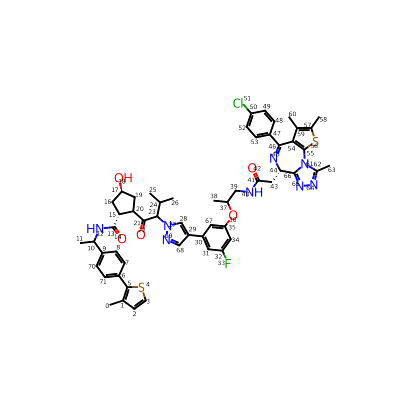 Cc1ccsc1-c1ccc(C(C)NC(=O)[C@@H]2C[C@@H](O)CC2C(=O)C(C(C)C)n2cc(-c3cc(F)cc(OC(C)CNC(=O)C[C@@H]4N=C(c5ccc(Cl)cc5)c5c(sc(C)c5C)-n5c(C)nnc54)c3)cn2)cc1